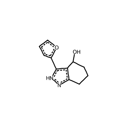 OC1CCCc2n[nH]c(-c3ccco3)c21